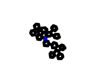 c1ccc(-c2ccc(N(c3cccc(-c4ccc5c(c4)c(-c4ccccc4)c(-c4ccccc4)c4ccccc45)c3)c3cccc4c3-c3ccccc3C4(c3ccccc3)c3ccccc3)cc2-c2ccccc2)cc1